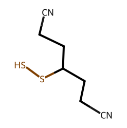 N#CCCC(CCC#N)SS